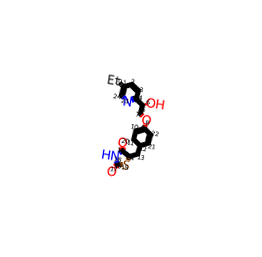 CCc1ccc([C@@H](O)COC2=CCC(CC3SC(=O)NC3=O)C=C2)nc1